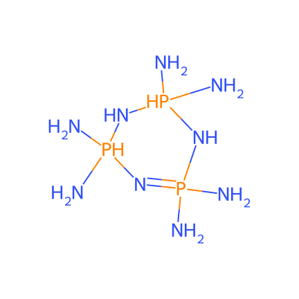 NP1(N)=N[PH](N)(N)N[PH](N)(N)N1